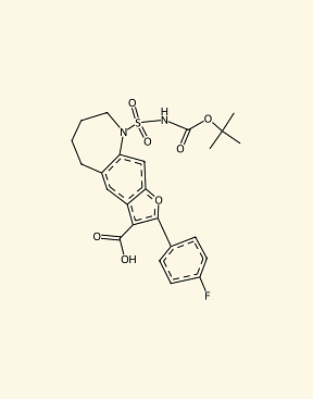 CC(C)(C)OC(=O)NS(=O)(=O)N1CCCCc2cc3c(C(=O)O)c(-c4ccc(F)cc4)oc3cc21